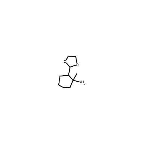 CC1(N)CCCCC1C1OCCO1